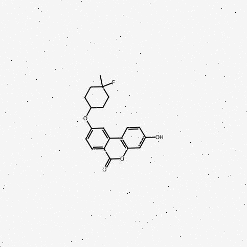 CC1(F)CCC(Oc2ccc3c(=O)oc4cc(O)ccc4c3c2)CC1